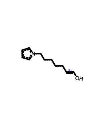 O/C=C/CCCCCn1cccc1